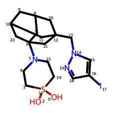 OS1(O)CCN(C23CC4CC(CC(Cn5cc(I)cn5)(C4)C2)C3)CC1